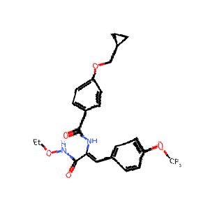 CCONC(=O)C(=Cc1ccc(OC(F)(F)F)cc1)NC(=O)c1ccc(OCC2CC2)cc1